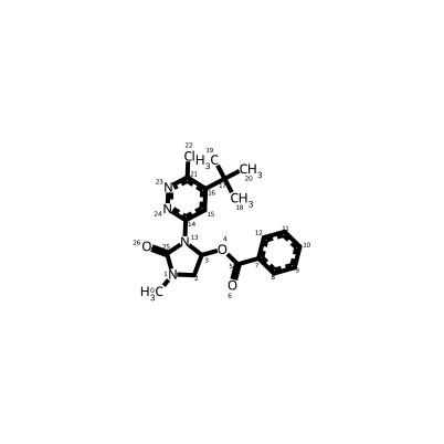 CN1CC(OC(=O)c2ccccc2)N(c2cc(C(C)(C)C)c(Cl)nn2)C1=O